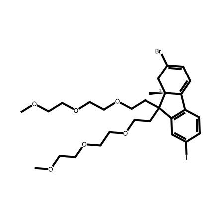 COCCOCCOCCC1(CCOCCOCCOC)c2cc(I)ccc2C2=CC=C(Br)C[C@]21C